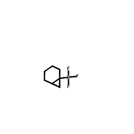 F[B-](F)(F)C12CCCCC1C2